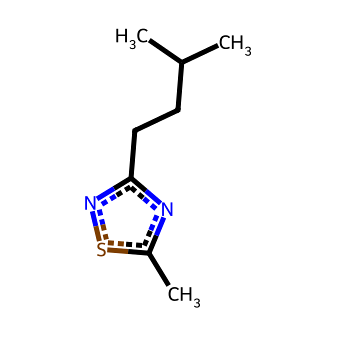 Cc1nc(CCC(C)C)ns1